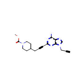 C#CCn1cnc2c(N)nc(C#CCC3CCN(C(=O)OC)CC3)nc21